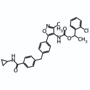 Cc1noc(-c2ccc(Cc3ccc(C(=O)NC4CC4)cc3)cc2)c1NC(=O)OC(C)c1ccccc1Cl